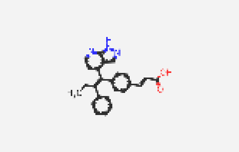 CC/C(=C(/c1ccc(/C=C/C(=O)O)cc1)c1ccnc2[nH]ncc12)c1ccccc1